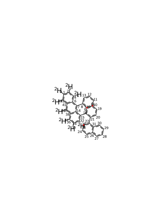 [2H]c1c([2H])c([2H])c2c(-c3ccccc3)c3c(-c4ccccc4-c4cccc5ccccc45)c([2H])c([2H])c([2H])c3c([2H])c2c1[2H]